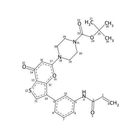 C=CC(=O)Nc1cccc(-c2csc3c(=O)cc(N4CCN(C(=O)OC(C)(C)C)CC4)oc23)c1